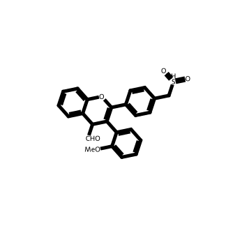 COc1ccccc1C1=C(c2ccc(C[SH](=O)=O)cc2)Oc2ccccc2C1C=O